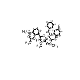 COc1ccnc(C(=O)N[C@@H](C)C(=O)O[C@@H](C)[C@@H](COCc2ccccc2)Cc2ccc(F)cc2)c1OC(C)=O